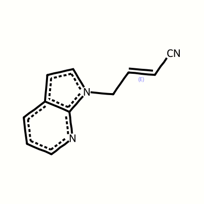 N#C/C=C/Cn1ccc2cccnc21